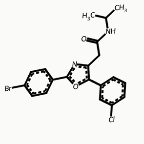 CC(C)NC(=O)Cc1nc(-c2ccc(Br)cc2)oc1-c1cccc(Cl)c1